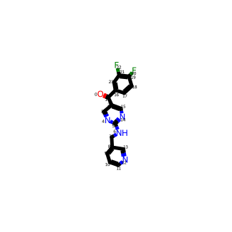 O=C(c1cnc(NCc2cccnc2)nc1)c1ccc(F)c(F)c1